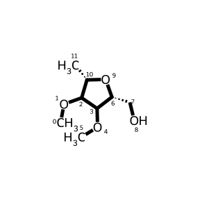 COC1C(OC)[C@@H](CO)O[C@H]1C